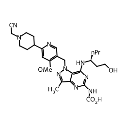 CCC[C@@H](CCO)Nc1nc(NC(=O)O)nc2c(C)nn(Cc3cnc(C4CCN(CC#N)CC4)cc3OC)c12